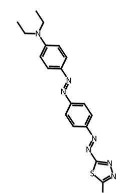 CCN(CC)c1ccc(N=Nc2ccc(N=Nc3nnc(S)s3)cc2)cc1